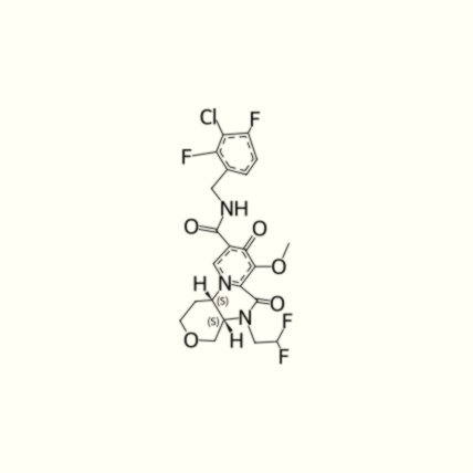 COc1c2n(cc(C(=O)NCc3ccc(F)c(Cl)c3F)c1=O)[C@H]1CCOC[C@H]1N(CC(F)F)C2=O